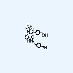 N#Cc1ccc(CCNC(=O)[C@@H]2CCCN2c2cc(-c3ccc(CO)cc3)nc(C(F)(F)F)n2)cc1